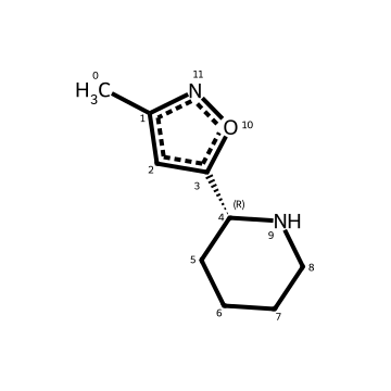 Cc1cc([C@H]2CCCCN2)on1